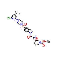 CC(C)(C)OC(=O)N1CCCC2(CC(C(=O)N3CCc4cc(S(=O)(=O)N5CCN(c6cc(C(F)(F)F)cc(Cl)n6)CC5)ccc43)=NO2)C1